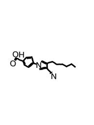 CCCCCCc1cn(-c2ccc(C(=O)O)cc2)cc1C#N